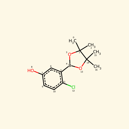 CC1(C)OB(c2cc(O)ccc2Cl)OC1(C)C